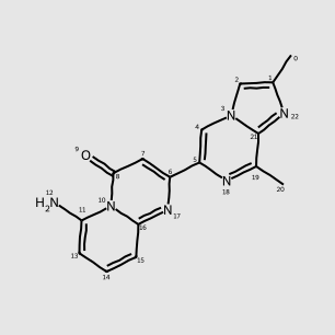 Cc1cn2cc(-c3cc(=O)n4c(N)cccc4n3)nc(C)c2n1